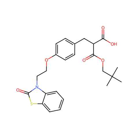 CC(C)(C)COC(=O)C(Cc1ccc(OCCn2c(=O)sc3ccccc32)cc1)C(=O)O